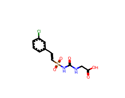 O=C(O)CNC(=O)NS(=O)(=O)/C=C/c1cccc(Cl)c1